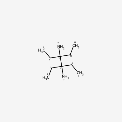 CCC(N)(CC)C(N)(CC)CC